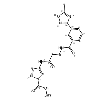 CCCOC(=O)n1cc(NC(=O)CCNC(=O)c2cccc(-c3noc(C)n3)c2)cn1